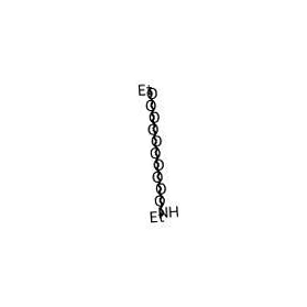 [CH2]COCCOCCOCCOCCOCCOCCOCCOCCOCCOCCNCC